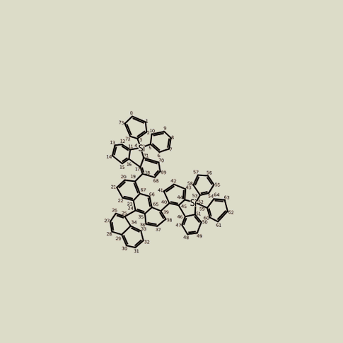 c1ccc([Si]2(c3ccccc3)c3ccccc3-c3c(-c4cccc5c(-c6cccc7ccccc67)c6cccc(-c7cccc8c7-c7ccccc7[Si]8(c7ccccc7)c7ccccc7)c6cc45)cccc32)cc1